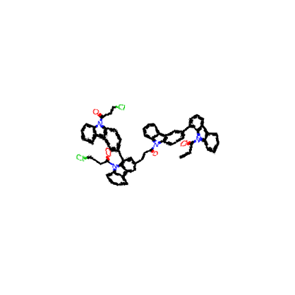 C=CC(=O)n1c2ccccc2c2cccc(-c3ccc4c(c3)c3ccccc3n4C(=O)/C=C/c3cc(-c4ccc5c(c4)c4ccccc4n5C(=O)CCCl)c4c(c3)c3ccccc3n4C(=O)CCCl)c21